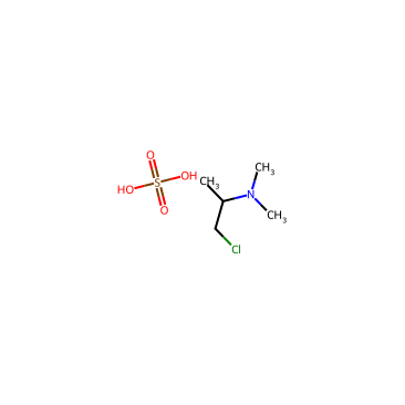 CC(CCl)N(C)C.O=S(=O)(O)O